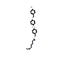 CCCCCC1OC1C/C=C/CC(=O)NCc1ccc(S(=O)(=O)c2ccc(/N=C/c3ccc(N(C)CC)cc3)cc2)cc1